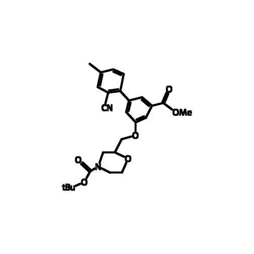 COC(=O)c1cc(OCC2CN(C(=O)OC(C)(C)C)CCO2)cc(-c2ccc(C)cc2C#N)c1